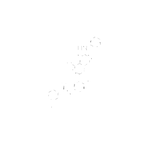 Cc1cccc(C(=O)Nc2ccc(C)c(-c3cc4cnc(Nc5ccccc5)nc4c(=O)n3C)c2)c1